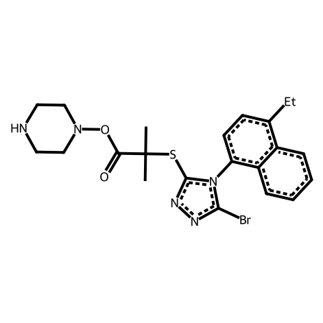 CCc1ccc(-n2c(Br)nnc2SC(C)(C)C(=O)ON2CCNCC2)c2ccccc12